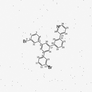 Brc1cccc(-c2cc(-c3cccc(Br)c3)cc(-c3cccc(-c4cccnc4)c3)c2)c1